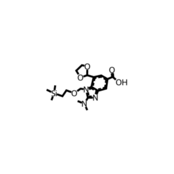 CN(C)c1nc2cc(C(=O)O)cc(C3OCCO3)c2n1COCC[Si](C)(C)C